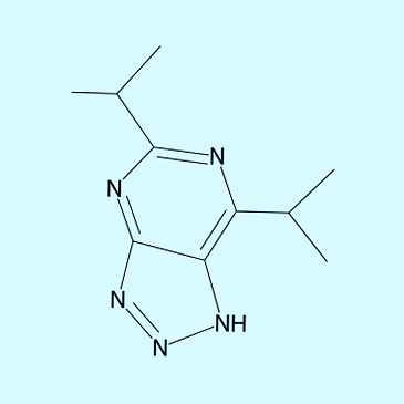 CC(C)c1nc(C(C)C)c2[nH]nnc2n1